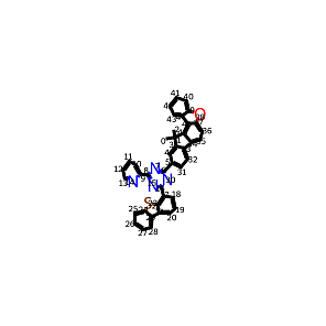 CC1(C)c2cc(-c3nc(-c4ccccn4)nc(-c4cccc5c4sc4ccccc45)n3)ccc2-c2ccc3oc4ccccc4c3c21